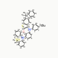 CC(C)(C)c1ccc(N2c3cccc4c3B(c3cccc5c3N4c3ccccc3[SH]5(C)(C)C)c3sc4cc5c(cc4c32)-c2ccccc2C5(C)C)cc1